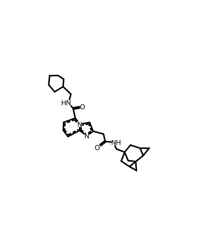 O=C(Cc1cn2c(C(=O)NCC3CCCCC3)cccc2n1)NCC12CC3CC3C3(CC3C1)C2